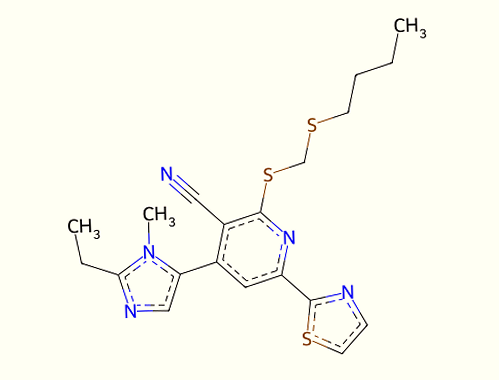 CCCCSCSc1nc(-c2nccs2)cc(-c2cnc(CC)n2C)c1C#N